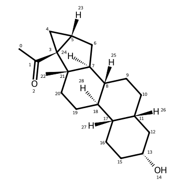 CC(=O)[C@@]12C[C@@H]1C[C@H]1[C@@H]3CC[C@@H]4C[C@H](O)CC[C@@H]4[C@H]3CC[C@@]12C